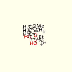 CCC(=C1CC1)C(O)C(CO)OC(C)C(C)C(C)(C)OC